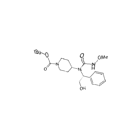 CONC(=O)N(C1CCN(C(=O)OC(C)(C)C)CC1)[C@@H](CO)c1ccccc1